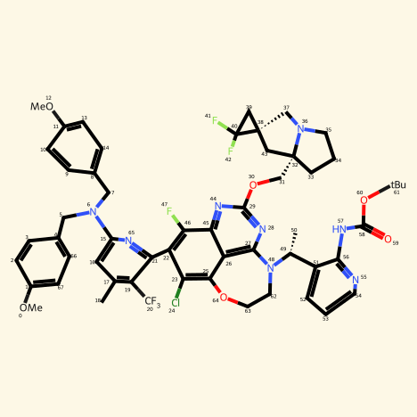 COc1ccc(CN(Cc2ccc(OC)cc2)c2cc(C)c(C(F)(F)F)c(-c3c(Cl)c4c5c(nc(OC[C@@]67CCCN6C[C@]6(CC6(F)F)C7)nc5c3F)N([C@H](C)c3cccnc3NC(=O)OC(C)(C)C)CCO4)n2)cc1